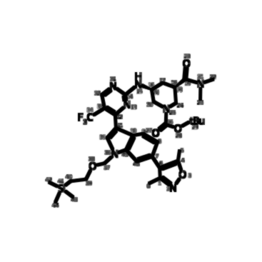 Cc1noc(C)c1-c1ccc2c(-c3nc(N[C@H]4C[C@@H](C(=O)N(C)C)CN(C(=O)OC(C)(C)C)C4)ncc3C(F)(F)F)cn(COCC[Si](C)(C)C)c2c1